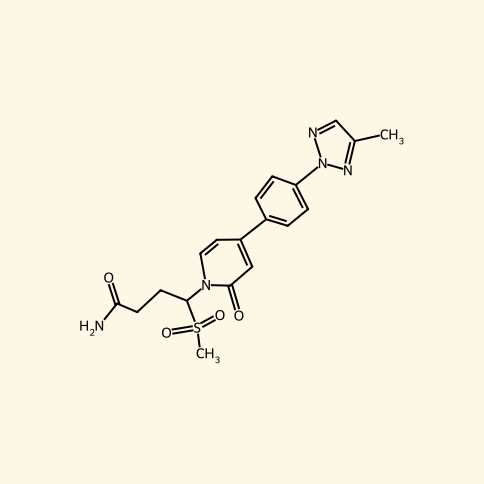 Cc1cnn(-c2ccc(-c3ccn(C(CCC(N)=O)S(C)(=O)=O)c(=O)c3)cc2)n1